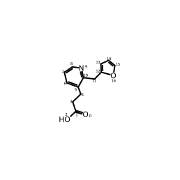 O=C(O)CCc1cccnc1Cc1ccco1